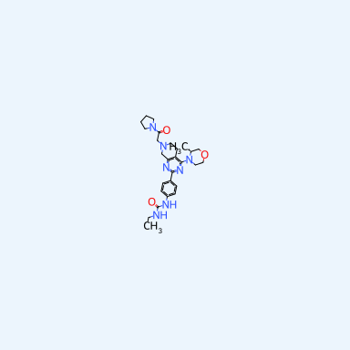 CCNC(=O)Nc1ccc(-c2nc3c(c(N4CCOC[C@@H]4C)n2)CCN(CC(=O)N2CCCC2)C3)cc1